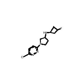 FC1CC(NC2CCN(c3ccc(Cl)nn3)C2)C1